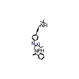 C=C1c2ccccc2PN1C/C(=N/c1ccc(C#CCNC(C)(C)C)cc1)N(C)CC